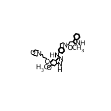 COC1=CC2NC=NC(Nc3ccc4c(c3)CCN4C(=O)Cc3c(C)[nH]c4ccccc34)=C2C=C1OCCCN1CCOCC1